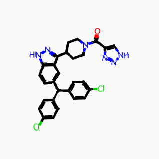 O=C(c1c[nH]nn1)N1CCC(c2n[nH]c3ccc(C(c4ccc(Cl)cc4)c4ccc(Cl)cc4)cc23)CC1